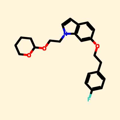 Fc1ccc(CCOc2ccc3ccn(CCOC4CCCCO4)c3c2)cc1